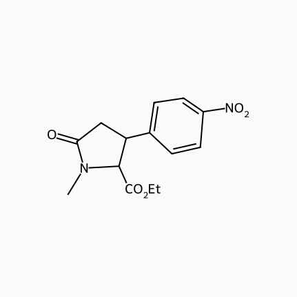 CCOC(=O)C1C(c2ccc([N+](=O)[O-])cc2)CC(=O)N1C